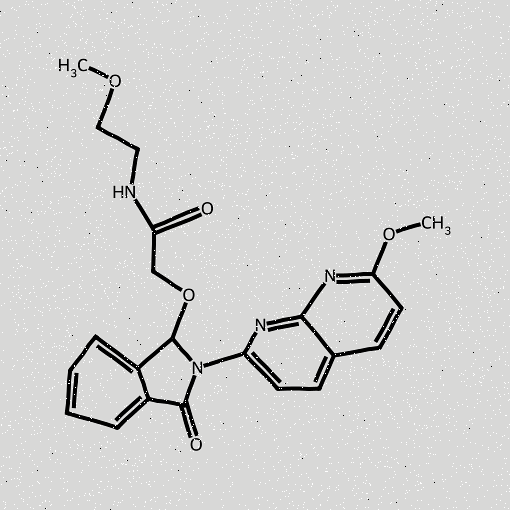 COCCNC(=O)COC1c2ccccc2C(=O)N1c1ccc2ccc(OC)nc2n1